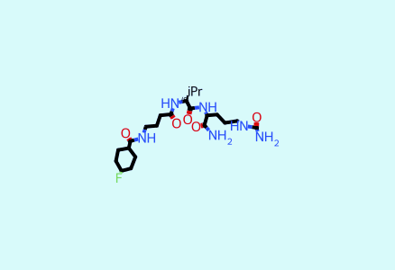 CC(C)[C@H](NC(=O)CCCNC(=O)C1CCC(F)CC1)C(=O)NC(CCCNC(N)=O)C(N)=O